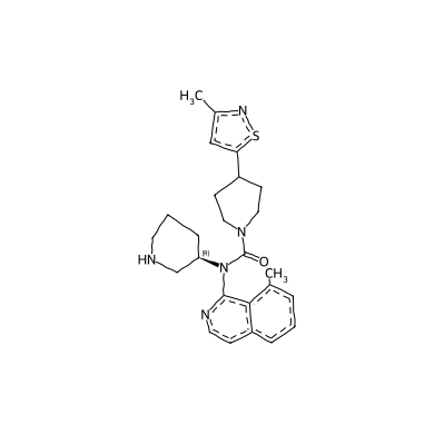 Cc1cc(C2CCN(C(=O)N(c3nccc4cccc(C)c34)[C@@H]3CCCNC3)CC2)sn1